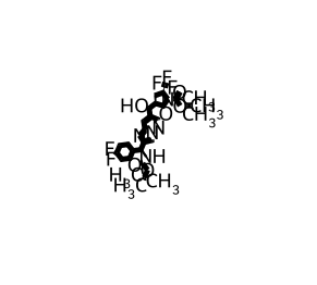 CC(C)(C)OC(=O)N[C@H](c1cn2ncc([C@H](O)[C@H]3C[C@H](C(F)(F)F)N(C(=O)OC(C)(C)C)C3=O)cc2n1)C1CCC(F)(F)CC1